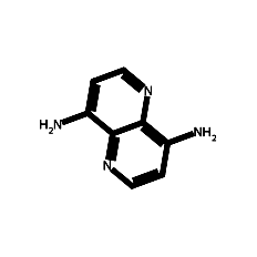 Nc1ccnc2c(N)ccnc12